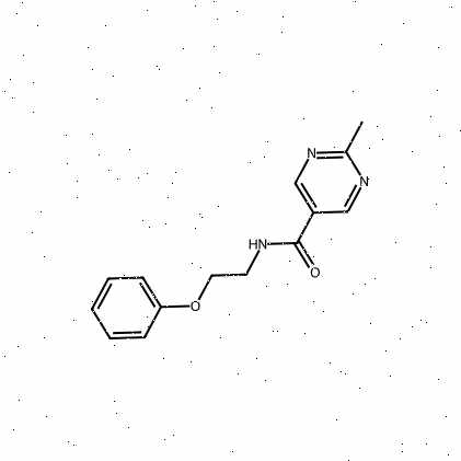 Cc1ncc(C(=O)NCCOc2ccccc2)cn1